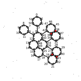 c1ccc(-c2c(-c3ccccc3)c3ccc4ccc(-c5ccccc5)c5c(-c6ccccc6)c(-c6ccccc6)c(c2-c2ccccc2)c3c45)cc1